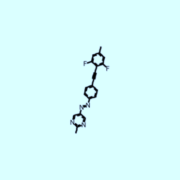 Cc1cc(F)c(C#Cc2ccc(N=Nc3cnc(C)nc3)cc2)c(F)c1